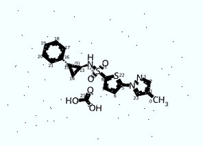 Cc1cnn(-c2ccc(S(=O)(=O)N[C@H]3C[C@@H]3c3ccccc3)s2)c1.O=C(O)O